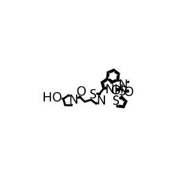 CN(c1cccc2cc(C3=NCC(CC(=O)N4CCC(O)C4)S3)[nH]c12)S(=O)(=O)c1cccs1